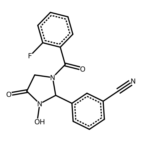 N#Cc1cccc(C2N(O)C(=O)CN2C(=O)c2ccccc2F)c1